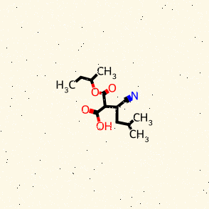 CCC(C)OC(=O)C(C(=O)O)C(C#N)CC(C)C